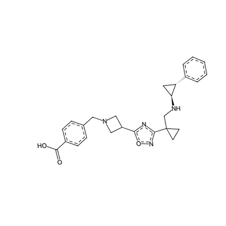 O=C(O)c1ccc(CN2CC(c3nc(C4(CN[C@H]5C[C@@H]5c5ccccc5)CC4)no3)C2)cc1